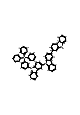 c1ccc([Si](c2ccccc2)(c2ccccc2)c2cccc(-n3c4ccccc4c4cc(-n5c6ccccc6c6cc(-c7ccc8c(c7)sc7ccccc78)ccc65)ccc43)c2)cc1